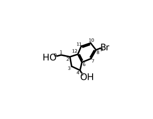 OCC1CC(O)c2cc(Br)ccc21